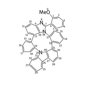 COc1ccccc1-c1nc2cccc3c4ccccc4n4c5ccccc5c5cccc(c6ccccc6n1c23)c54